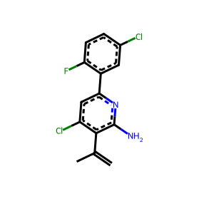 C=C(C)c1c(Cl)cc(-c2cc(Cl)ccc2F)nc1N